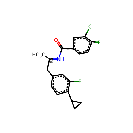 O=C(N[C@@H](Cc1ccc(C2CC2)c(F)c1)C(=O)O)c1ccc(F)c(Cl)c1